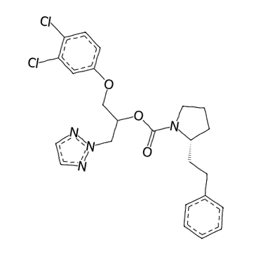 O=C(OC(COc1ccc(Cl)c(Cl)c1)Cn1nccn1)N1CCC[C@@H]1CCc1ccccc1